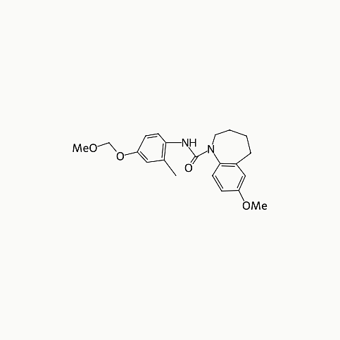 COCOc1ccc(NC(=O)N2CCCCc3cc(OC)ccc32)c(C)c1